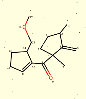 C=C1C(C)CCC1(C)C(=O)C1=CCCC1COC